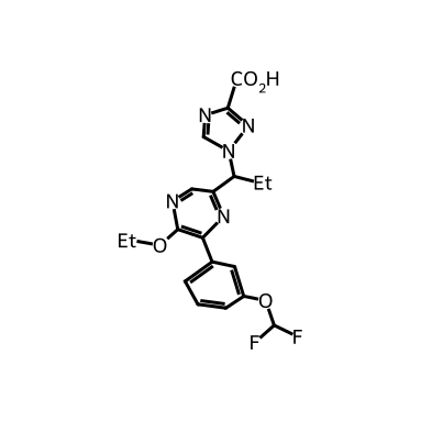 CCOc1ncc(C(CC)n2cnc(C(=O)O)n2)nc1-c1cccc(OC(F)F)c1